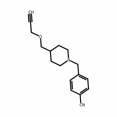 C#CCOCC1CCN(Cc2ccc(C#N)cc2)CC1